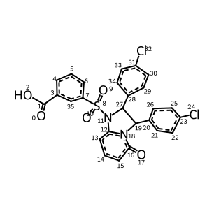 O=C(O)c1cccc(S(=O)(=O)N2c3cccc(=O)n3C(c3ccc(Cl)cc3)C2c2ccc(Cl)cc2)c1